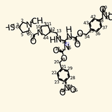 CN1C[C@@H](S)C[C@H]1C(=O)N1CC[C@@H](CN/C(=N\C(=O)OCc2ccc([N+](=O)[O-])cc2)NC(=O)OCc2ccc([N+](=O)[O-])cc2)C1